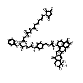 CC[C@@]1(O)C(=O)OCc2c1cc1n(c2=O)Cc2c-1nc1cc(F)c(C)c3c1c2[C@@H](NC(=O)OCc1ccc(NC(=O)CNC(=O)[C@H](Cc2ccccc2)NC(=O)CNC(=O)CNC(=O)CCCCCN2C(=O)CC(C)C2=O)cc1)CC3